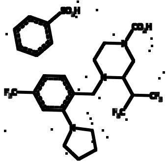 O=C(O)N1CCN(Cc2ccc(C(F)(F)F)cc2N2CCCC2)C(C(C(F)(F)F)C(F)(F)F)C1.O=S(=O)(O)c1ccccc1